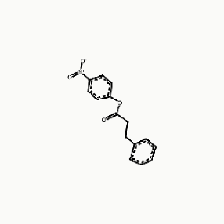 O=C(CCc1ccccc1)Oc1ccc([N+](=O)[O-])cc1